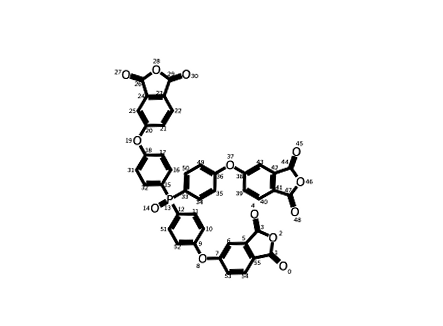 O=C1OC(=O)c2cc(Oc3ccc(P(=O)(c4ccc(Oc5ccc6c(c5)C(=O)OC6=O)cc4)c4ccc(Oc5ccc6c(c5)C(=O)OC6=O)cc4)cc3)ccc21